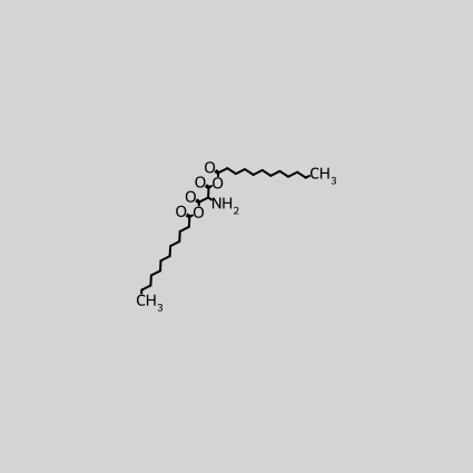 CCCCCCCCCCCC(=O)OC(=O)C(N)C(=O)OC(=O)CCCCCCCCCCC